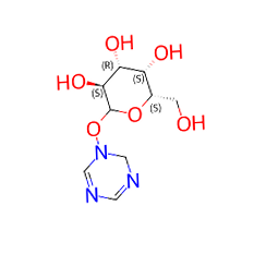 OC[C@@H]1OC(ON2C=NC=NC2)[C@@H](O)[C@H](O)[C@@H]1O